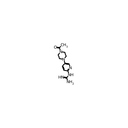 CC(=O)N1CCN(c2ccc(NC(=N)N)nc2)CC1